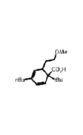 CCCCC1=CC(CCOC)C(C(=O)O)(C(C)(C)C)C=C1